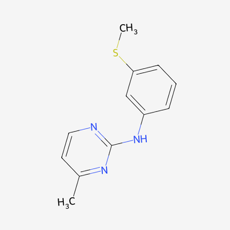 CSc1cccc(Nc2nccc(C)n2)c1